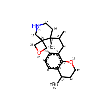 CCC1(C(C)Cc2cccc3c2OCCC3C(C)(C)C)CCNCC12COC2